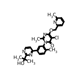 Cc1cccc(COc2nc(C)n(-c3cc(-c4ccnc(C(C)(C)O)n4)ccc3C)c(=O)c2Cl)n1